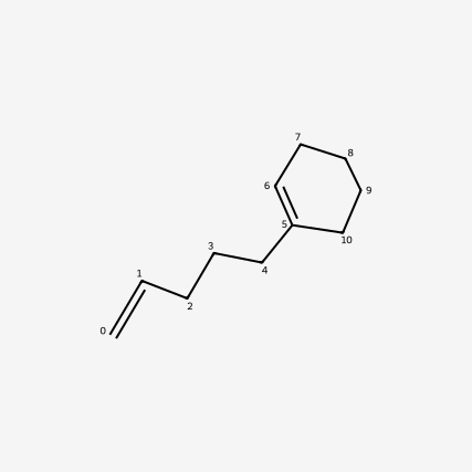 C=CCCCC1=CCCCC1